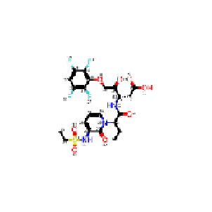 CCC(C(=O)N[C@@H](CC(=O)O)C(=O)COc1c(F)c(F)cc(F)c1F)n1cccc(NS(=O)(=O)CC)c1=O